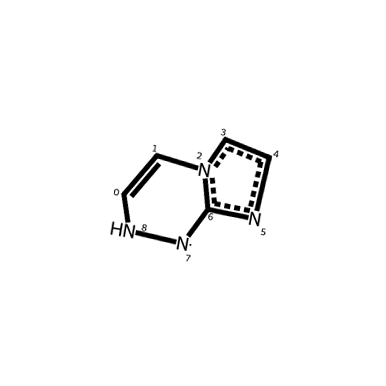 C1=Cn2ccnc2[N]N1